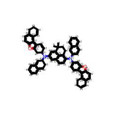 CC1(C)CCc2c(N(c3ccc4ccccc4c3)c3ccc4c(c3)oc3ccc5c(c34)CCC=C5)ccc3cc(N(C4C=c5ccccc5=CC4)C4C=Cc5c(oc6ccc7c(c56)C=CCC7)C4)cc1c23